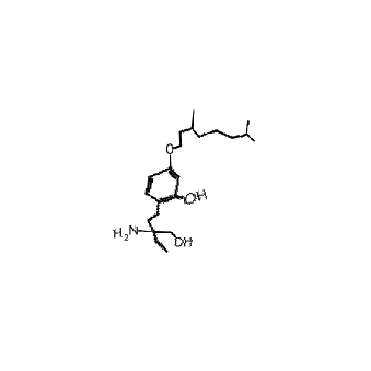 CC[C@@](N)(CO)CCc1ccc(OCCC(C)CCCC(C)C)cc1O